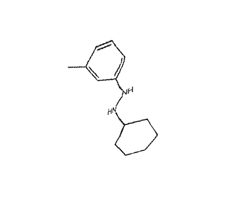 Cc1cccc(NNC2CCCCC2)c1